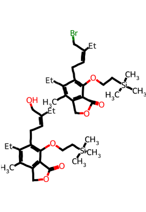 CCC(=CCc1c(CC)c(C)c2c(c1OCC[Si](C)(C)C)C(=O)OC2)CBr.CCC(=CCc1c(CC)c(C)c2c(c1OCC[Si](C)(C)C)C(=O)OC2)CO